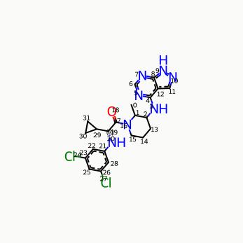 CC1C(Nc2ncnc3[nH]ncc23)CCCN1C(=O)[C@H](Nc1cc(Cl)cc(Cl)c1)C1CC1